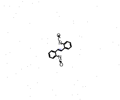 O=C=Nc1ccccc1/C=C/c1ccccc1N=C=O